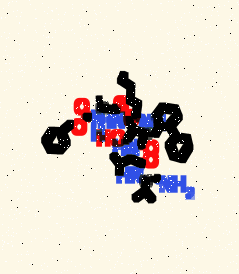 CCCCCC(=O)N[C@@](Cc1ccccc1-c1ccccc1)(C(=O)NC(C(=O)N[C@H](CN)C(C)C)C(C)C)C(CO)CNC(=O)[C@H](C)NC(=O)OCc1ccccc1